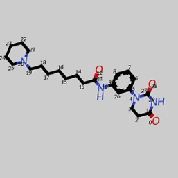 O=C1CCN(c2cccc(NC(=O)CCCCCCCN3CCCCC3)c2)C(=O)N1